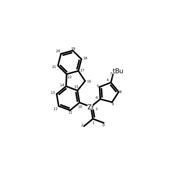 C[C](C)=[Zr]([C]1=CC(C(C)(C)C)=CC1)[c]1cccc2c1Cc1ccccc1-2